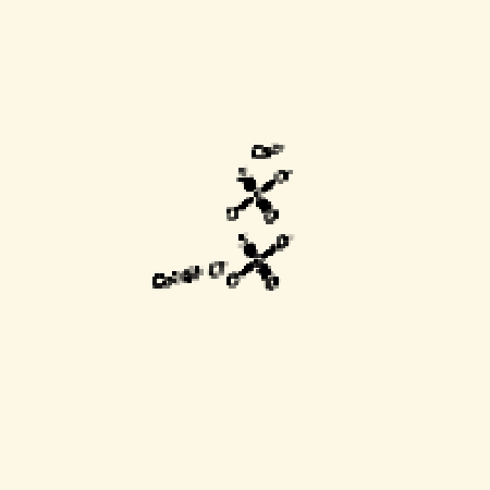 O=S([O-])([O-])=S.O=S([O-])([O-])=S.[Ca+2].[Ca+2].[Ca+2].[Cl-].[Cl-]